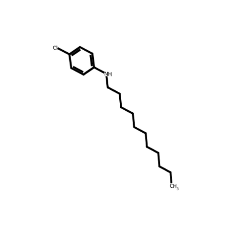 CCCCCCCCCCCNc1ccc(Cl)cc1